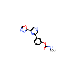 CCCCCCCCNC(=O)Oc1cccc(-c2cncc(-c3nnco3)n2)c1